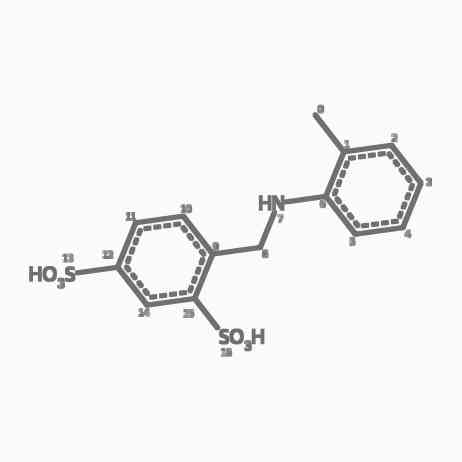 Cc1ccccc1NCc1ccc(S(=O)(=O)O)cc1S(=O)(=O)O